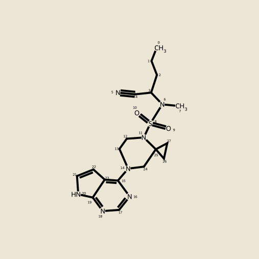 CCCC(C#N)N(C)S(=O)(=O)N1CCN(c2ncnc3[nH]ccc23)CC12CC2